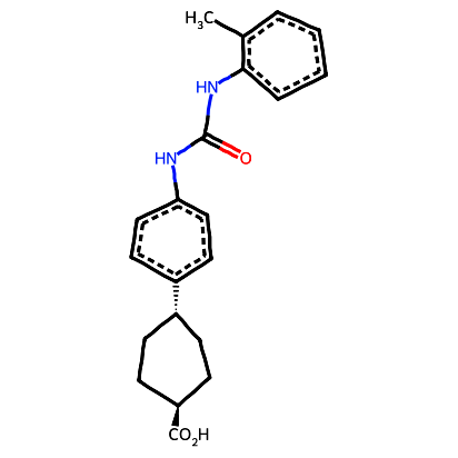 Cc1ccccc1NC(=O)Nc1ccc([C@H]2CC[C@H](C(=O)O)CC2)cc1